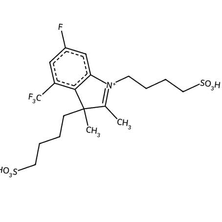 CC1=[N+](CCCCS(=O)(=O)O)c2cc(F)cc(C(F)(F)F)c2C1(C)CCCCS(=O)(=O)O